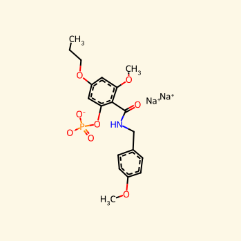 CCCOc1cc(OC)c(C(=O)NCc2ccc(OC)cc2)c(OP(=O)([O-])[O-])c1.[Na+].[Na+]